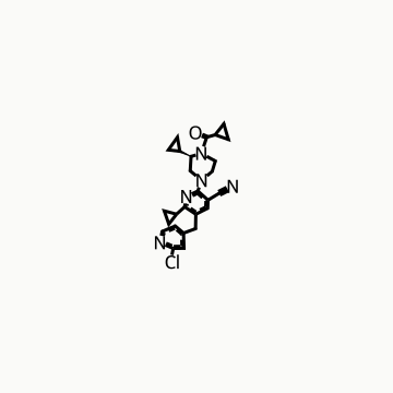 N#Cc1cc(Cc2ccnc(Cl)c2)c(C2CC2)nc1N1CCN(C(=O)C2CC2)[C@H](C2CC2)C1